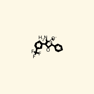 NC1=C(c2cccc(C(F)(F)F)c2)C(=O)C(c2ccccc2)[S+]1[O-]